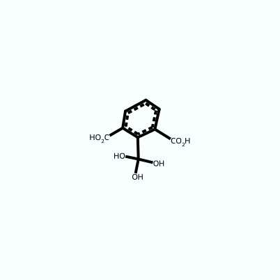 O=C(O)c1cccc(C(=O)O)c1C(O)(O)O